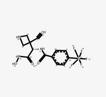 C#CC1([C@H](NC(=O)c2ccc(S(F)(F)(F)(F)F)cc2)C(=O)NO)CNC1